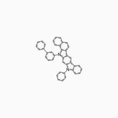 c1ccc(-c2cccc(-n3c4cc5c(cc4c4ccc6ccccc6c43)c3ccccc3n5-c3ccccc3)c2)cc1